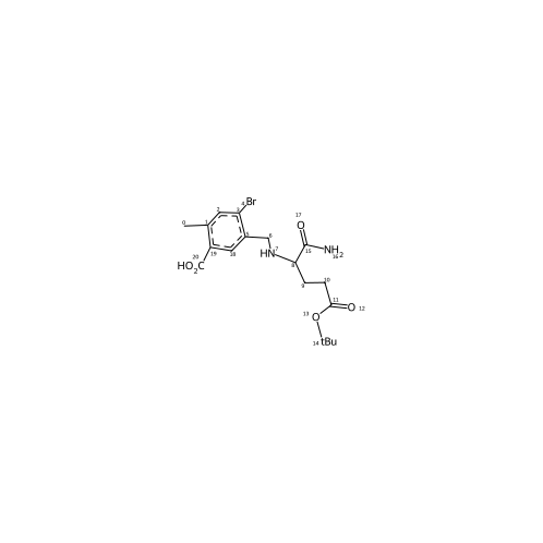 Cc1cc(Br)c(CNC(CCC(=O)OC(C)(C)C)C(N)=O)cc1C(=O)O